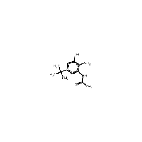 CC(=O)Nc1cc(C(C)(C)C)cc(S)c1C